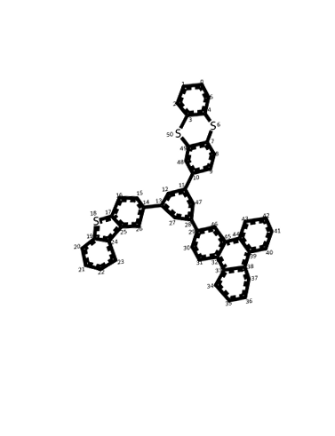 c1ccc2c(c1)Sc1ccc(-c3cc(-c4ccc5sc6ccccc6c5c4)cc(-c4ccc5c6ccccc6c6ccccc6c5c4)c3)cc1S2